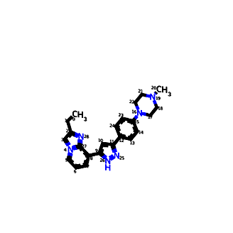 CCc1cn2cccc(-c3cc(-c4ccc(N5CCN(C)CC5)cc4)n[nH]3)c2n1